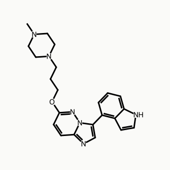 CN1CCN(CCCOc2ccc3ncc(-c4cccc5[nH]ccc45)n3n2)CC1